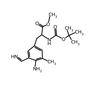 COC(=O)C(Cc1cc(C)c(N)c(C=N)c1)NC(=O)OC(C)(C)C